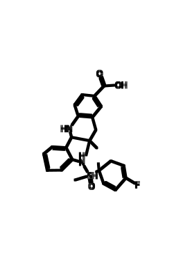 CC1(C)Cc2cc(C(=O)O)ccc2NC1c1ccccc1N[SH](C)(=O)C1(C)C=CC(F)=CC1